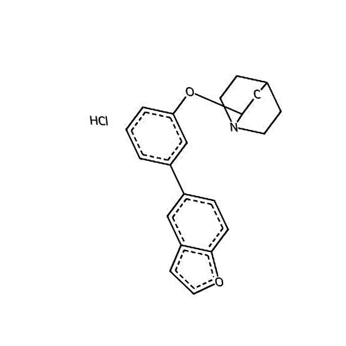 Cl.c1cc(OC2CC3CCN2CC3)cc(-c2ccc3occc3c2)c1